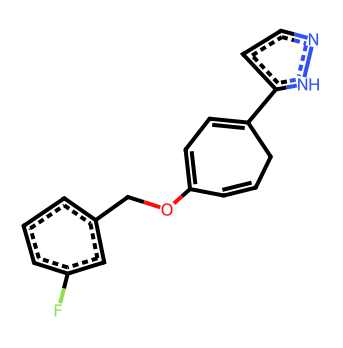 Fc1cccc(COC2=CC=C(c3ccn[nH]3)CC=C2)c1